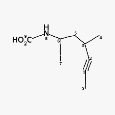 CC#CC(C)CC(I)NC(=O)O